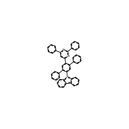 c1ccc(-c2cc(-c3cc(-c4ccccc4)c(-n4c5ccccc5c5ccccc54)cc3-c3ccccc3)nc(-c3ccccc3)n2)cc1